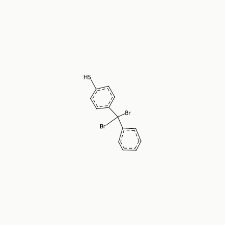 Sc1ccc(C(Br)(Br)c2ccccc2)cc1